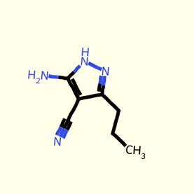 CCCc1n[nH]c(N)c1C#N